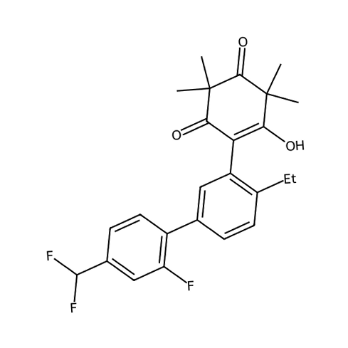 CCc1ccc(-c2ccc(C(F)F)cc2F)cc1C1=C(O)C(C)(C)C(=O)C(C)(C)C1=O